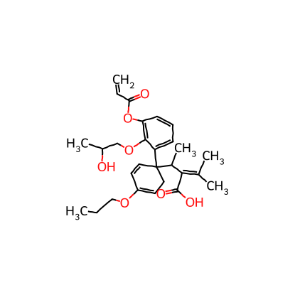 C=CC(=O)Oc1cccc(C2(C(C)C(C(=O)O)=C(C)C)C=CC(OCCC)=CC2)c1OCC(C)O